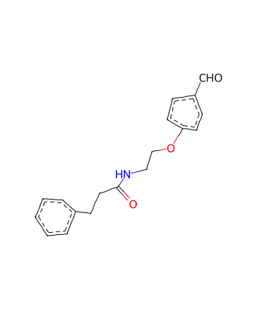 O=Cc1ccc(OCCNC(=O)CCc2ccccc2)cc1